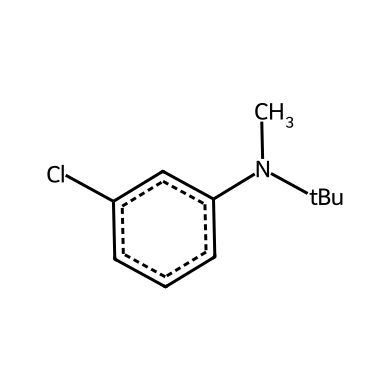 CN(c1cccc(Cl)c1)C(C)(C)C